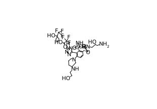 NCC(O)CNS(=O)(=O)c1ccc(N2CCC[C@@H](NCCO)C2)c(-c2nn[nH]n2)c1S(N)(=O)=O.O=C(O)C(F)(F)F.O=C(O)C(F)(F)F